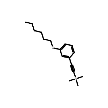 CCCCCCOc1cccc(C#C[Si](C)(C)C)c1